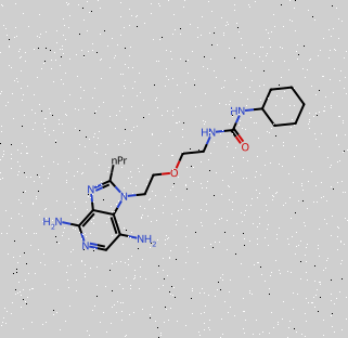 CCCc1nc2c(N)ncc(N)c2n1CCOCCNC(=O)NC1CCCCC1